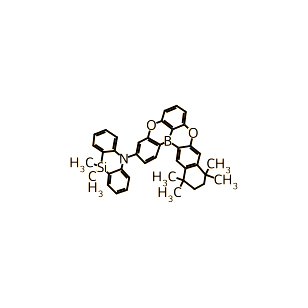 CC1(C)CCC(C)(C)c2cc3c(cc21)Oc1cccc2c1B3c1ccc(N3c4ccccc4[Si](C)(C)c4ccccc43)cc1O2